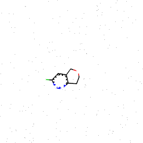 Clc1cc2c(nn1)CCOC2